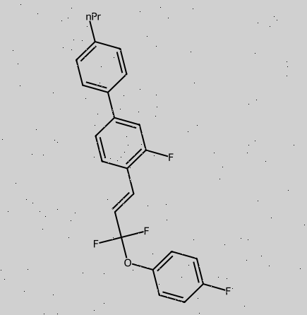 CCCc1ccc(-c2ccc(/C=C/C(F)(F)Oc3ccc(F)cc3)c(F)c2)cc1